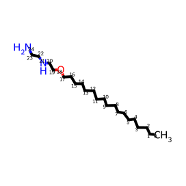 CCCCCCCCCCCCCCCCCCOCCNCCN